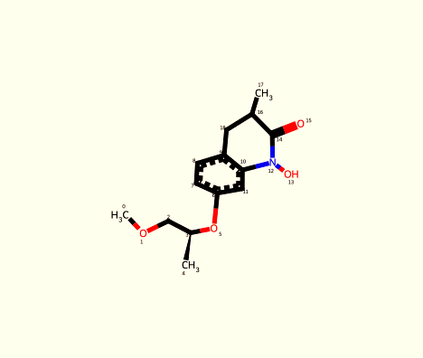 COC[C@H](C)Oc1ccc2c(c1)N(O)C(=O)C(C)C2